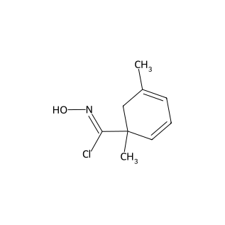 CC1=CC=CC(C)(C(Cl)=NO)C1